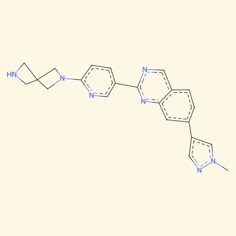 Cn1cc(-c2ccc3cnc(-c4ccc(N5CC6(CNC6)C5)nc4)nc3c2)cn1